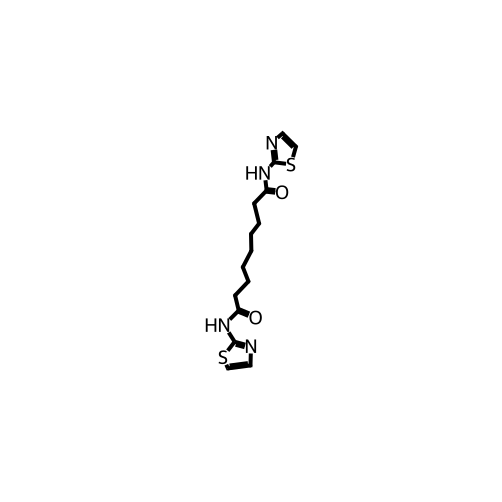 O=C(CCCCCCCC(=O)Nc1nccs1)Nc1nccs1